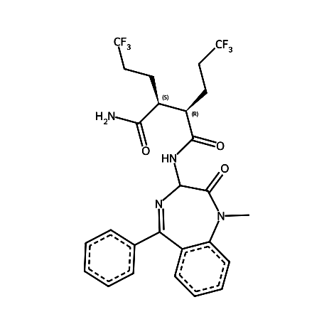 CN1C(=O)C(NC(=O)[C@H](CCC(F)(F)F)[C@H](CCC(F)(F)F)C(N)=O)N=C(c2ccccc2)c2ccccc21